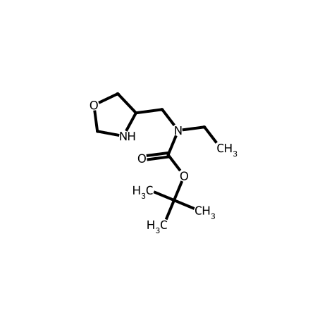 CCN(CC1COCN1)C(=O)OC(C)(C)C